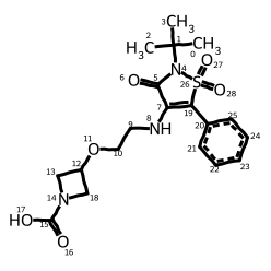 CC(C)(C)N1C(=O)C(NCCOC2CN(C(=O)O)C2)=C(c2ccccc2)S1(=O)=O